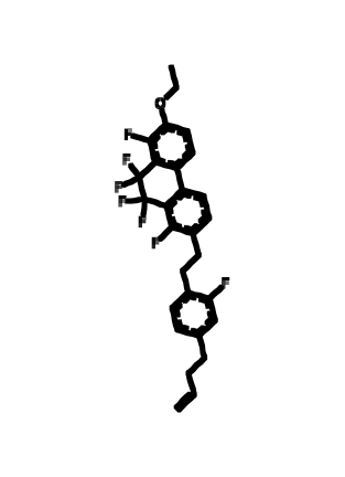 C=CCCc1ccc(CCc2ccc3c(c2F)C(F)(F)C(F)(F)c2c-3ccc(OCC)c2F)c(F)c1